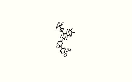 Cc1nc2nc([C@H]3CCO[C@@H](c4ccc(=O)[nH]c4)C3)nc(C34CC(C(F)(F)F)(C3)C4)c2nc1C